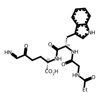 CCC(=O)NCC(=O)N[C@@H](Cc1c[nH]c2ccccc12)C(=O)N[C@@H](CCC(=O)C=N)C(=O)O